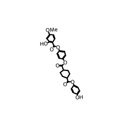 COc1ccc(C(=O)Oc2ccc(OC(=O)C3CCC(C(=O)Oc4ccc(O)cc4)CC3)cc2)c(O)c1